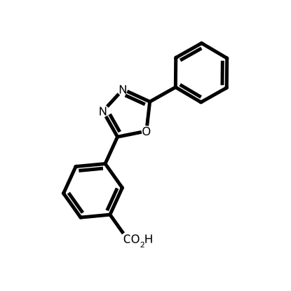 O=C(O)c1cccc(-c2nnc(-c3ccccc3)o2)c1